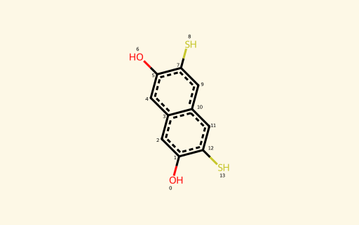 Oc1cc2cc(O)c(S)cc2cc1S